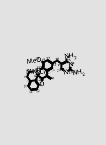 C=C(C(=O)C1(C#N)NCCc2ccccc21)c1cc(Cc2cnc(N)nc2N)cc(OC)c1OC